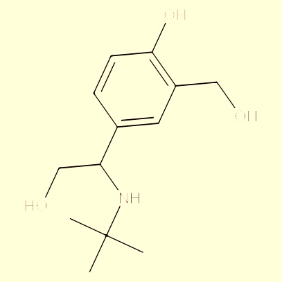 CC(C)(C)NC(CO)c1ccc(O)c(CO)c1